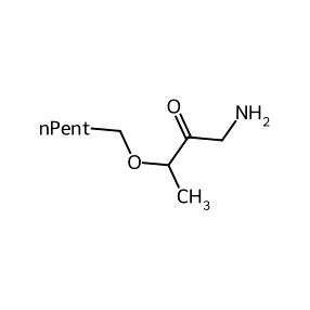 CCCCCCOC(C)C(=O)CN